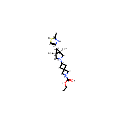 CCOC(=O)N1CC2(CC(N3C[C@@H]4[C@H](C3)[C@H]4c3csc(C)n3)C2)C1